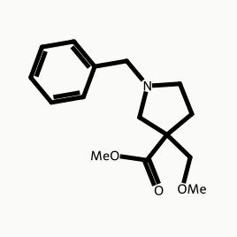 COCC1(C(=O)OC)CCN(Cc2ccccc2)C1